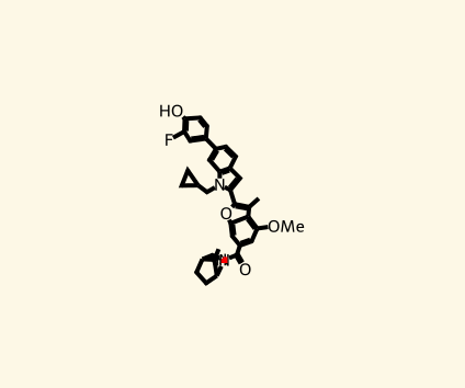 COc1cc(C(=O)N2CC3CCC2[C@@H]3C)cc2oc(-c3cc4ccc(-c5ccc(O)c(F)c5)cc4n3CC3CC3)c(C)c12